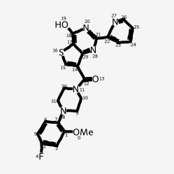 COc1cc(F)ccc1N1CCN(C(=O)c2csc3c(O)nc(-c4ccccn4)nc23)CC1